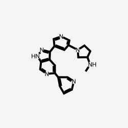 CNC1CCN(c2cncc(-c3n[nH]c4cnc(-c5cccnc5)cc34)c2)C1